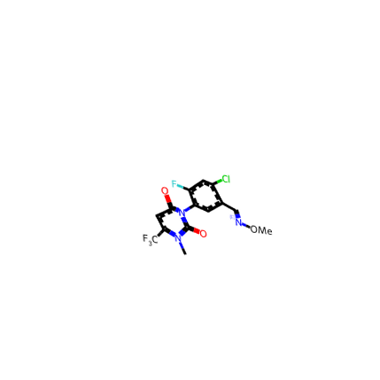 CO/N=C/c1cc(-n2c(=O)cc(C(F)(F)F)n(C)c2=O)c(F)cc1Cl